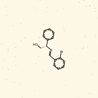 OC[C@@H](/N=C/c1ccccc1Br)c1ccccc1